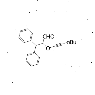 CCCCC#COC(C=O)[C](c1ccccc1)c1ccccc1